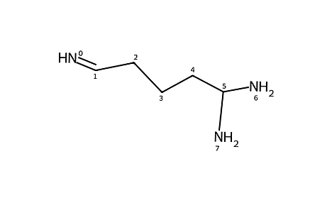 N=CCCCC(N)N